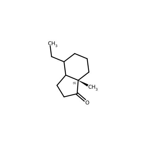 CCC1CCC[C@]2(C)C(=O)CCC12